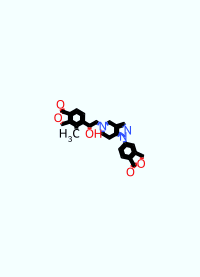 Cc1c(C(O)CN2CCc3c(cnn3-c3ccc4c(c3)COC4=O)C2)ccc2c1COC2=O